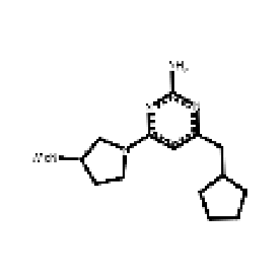 CN[C@@H]1CCN(c2cc(CC3CCCC3)nc(N)n2)C1